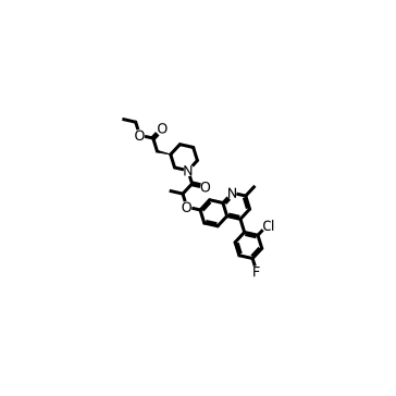 CCOC(=O)C[C@H]1CCCN(C(=O)C(C)Oc2ccc3c(-c4ccc(F)cc4Cl)cc(C)nc3c2)C1